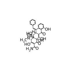 CN(C)[C@H]1C(O)=C(C(N)=O)C(=O)[C@@]2(O)C(O)=C3C(=O)c4c(O)cccc4/C(=C\c4ccccc4)[C@H]3[C@@H](O)[C@@H]12